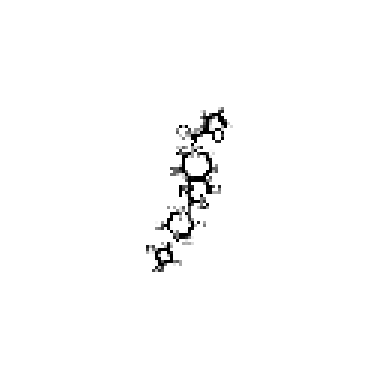 O=C(c1ccco1)N1CCc2cnc(N3CCN(C4CCC4)CC3)nc2CC1